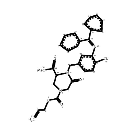 C=CCOC(=O)N1CC(=O)N(Cc2ccc(C#N)c(N=C(c3ccccc3)c3ccccc3)c2)C(C(=O)OC)C1